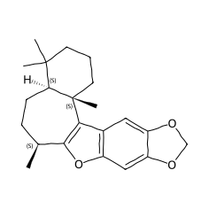 C[C@H]1CC[C@H]2C(C)(C)CCC[C@]2(C)c2c1oc1cc3c(cc21)OCO3